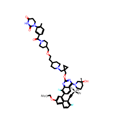 COCOc1cc(-c2ccc3c(N4CCC[C@@](C)(O)C4)nc(OCC4(CN5CCC(CCOCC6CCN(C(=O)c7ccc(C)c(N8CCC(=O)NC8=O)c7)CC6)CC5)CC4)nc3c2F)c2c(C#C[Si](C(C)C)(C(C)C)C(C)C)c(F)ccc2c1